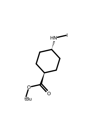 CC(C)(C)OC(=O)[C@H]1CC[C@H](NI)CC1